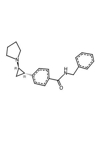 O=C(NCc1ccccc1)c1ccc([C@@H]2C[C@H]2N2CCCC2)cc1